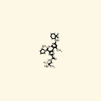 Cc1cc(N[C@H]2CCCCC2(F)F)ncc1-c1sc(C(=O)NCC(C)(C)O)nc1C(=O)N1CCC[C@@H]1C